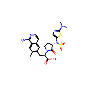 Cc1cc2c(N)nccc2cc1C[C@H](C(=O)O)N1CC[C@H](N(c2cnc(N(C)C)s2)[SH](=O)=O)C1=O